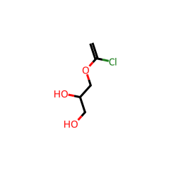 C=C(Cl)OCC(O)CO